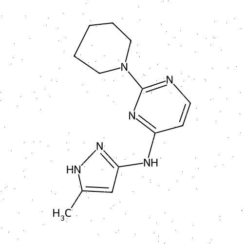 Cc1cc(Nc2ccnc(N3CCCCC3)n2)n[nH]1